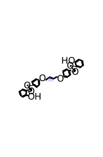 O=S(=O)(c1ccc(OC/C=C/COc2ccc(S(=O)(=O)c3ccccc3O)cc2)cc1)c1ccccc1O